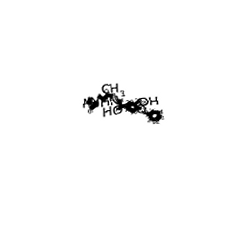 CC(CCn1ccnc1)CNCC(O)c1ccc(OCc2ccccc2)c(CO)c1